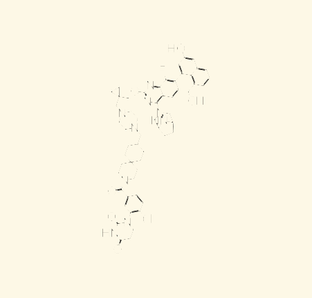 CCc1cccc2cc(O)cc(-c3ccc4c(N5CC6CCC(C5)N6)nc(OCC5(CN6CCN(CC7CCC8(CC7)CCN(C(=O)c7ccc(Cl)c(N9CCC(=O)NC9=O)c7)CC8)CC6)CC5)nc4c3F)c12